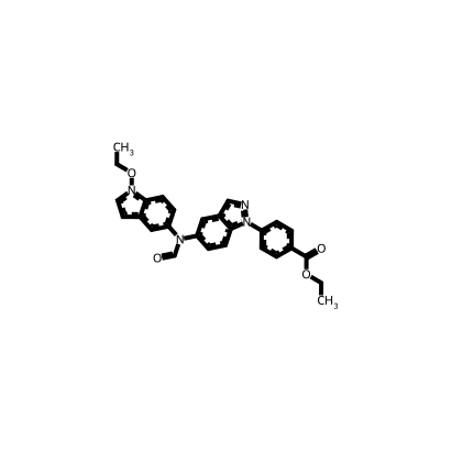 CCOC(=O)c1ccc(-n2ncc3cc(N(C=O)c4ccc5c(ccn5OCC)c4)ccc32)cc1